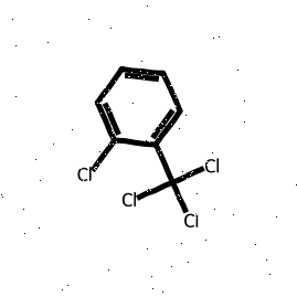 Clc1ccccc1C(Cl)(Cl)Cl